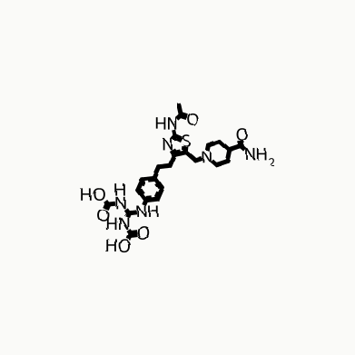 CC(=O)Nc1nc(CCc2ccc(NC(NC(=O)O)NC(=O)O)cc2)c(CN2CCC(C(N)=O)CC2)s1